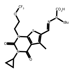 Cc1c(/C=N/N(C(=O)O)C(C)(C)C)sc2c1c(=O)n(C1CC1)c(=O)n2CCOC(F)(F)F